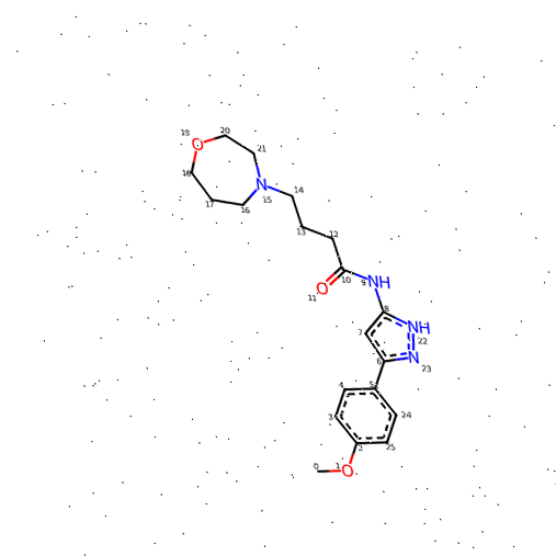 COc1ccc(-c2cc(NC(=O)CCCN3CCCOCC3)[nH]n2)cc1